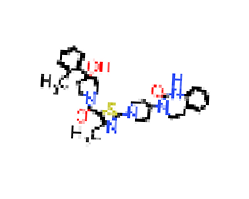 Cc1ccccc1C1(O)CCN(C(=O)c2sc(N3CCC(N4CCc5ccccc5NC4=O)CC3)nc2C)CC1